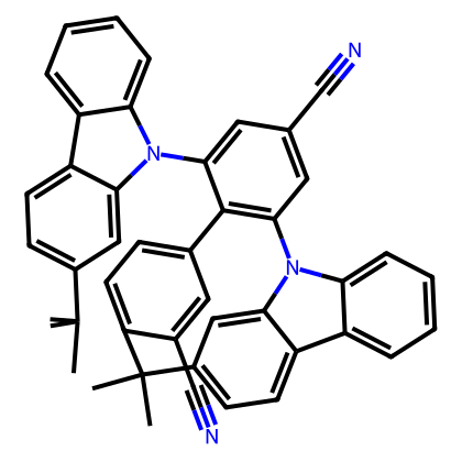 CC(C)(C)c1ccc2c3ccccc3n(-c3cc(C#N)cc(-n4c5ccccc5c5ccc(C(C)(C)C)cc54)c3-c3cccc(C#N)c3)c2c1